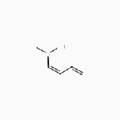 C=C/C=C\N(C)N